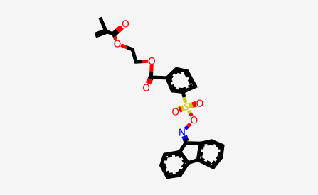 C=C(C)C(=O)OCCOC(=O)c1cccc(S(=O)(=O)ON=C2c3ccccc3-c3ccccc32)c1